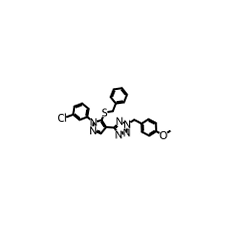 COc1ccc(Cn2nnc(-c3cnn(-c4cccc(Cl)c4)c3SCc3ccccc3)n2)cc1